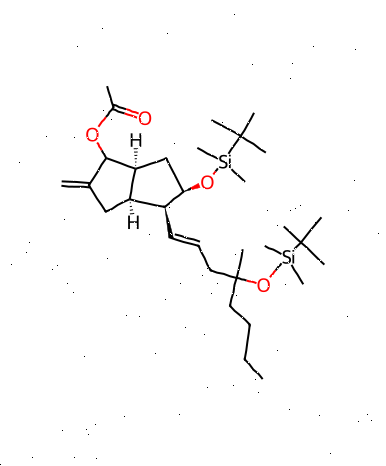 C=C1C[C@@H]2[C@H](/C=C/CC(C)(CCCC)O[Si](C)(C)C(C)(C)C)[C@H](O[Si](C)(C)C(C)(C)C)C[C@@H]2C1OC(C)=O